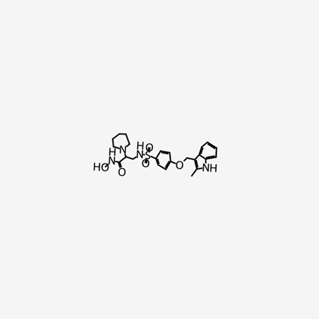 Cc1[nH]c2ccccc2c1COc1ccc(S(=O)(=O)NCC(C(=O)NO)N2CCCCC2)cc1